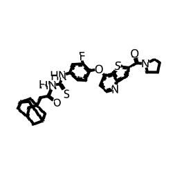 O=C(CC12CC3CC(CC(C3)C1)C2)NC(=S)Nc1ccc(Oc2ccnc3cc(C(=O)N4CCCC4)sc23)c(F)c1